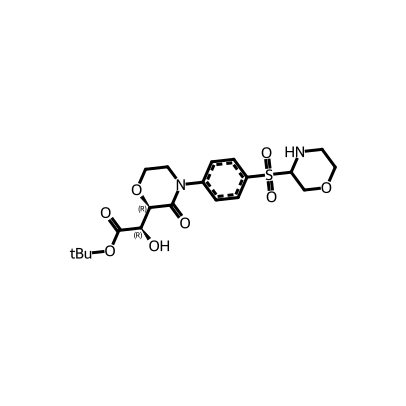 CC(C)(C)OC(=O)[C@H](O)[C@H]1OCCN(c2ccc(S(=O)(=O)C3COCCN3)cc2)C1=O